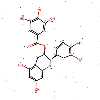 O=C(O[C@@H]1Cc2c(O)cc(O)cc2O[C@@H]1C1C=CC(O)=C(O)C1)c1cc(O)c(O)c(O)c1